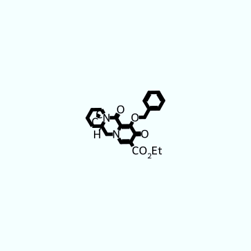 CCOC(=O)c1cn2c(c(OCc3ccccc3)c1=O)C(=O)N1C3CCC(CC3)[C@@H]1C2